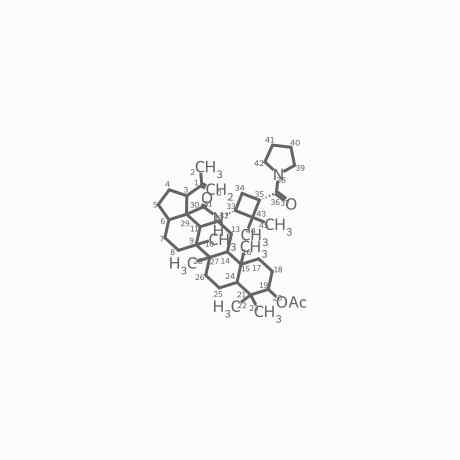 C=C(C)C1CCC2CCC3(C)C(CCC4C5(C)CCC(OC(C)=O)C(C)(C)C5CCC43C)C21C(=O)N[C@@H]1C[C@H](C(=O)N2CCCC2)C1(C)C